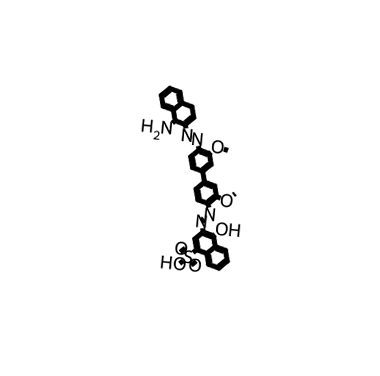 COc1cc(-c2ccc(N=Nc3cc(S(=O)(=O)O)c4ccccc4c3O)c(OC)c2)ccc1N=NC1=CCc2ccccc2C1N